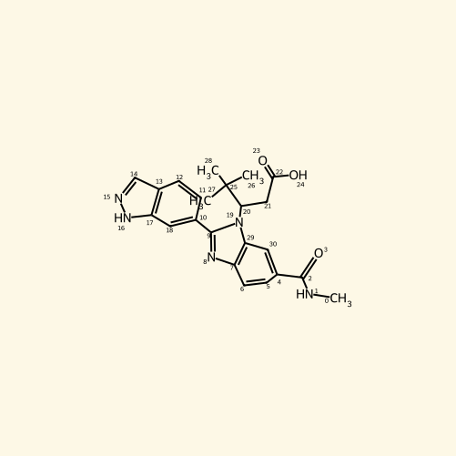 CNC(=O)c1ccc2nc(-c3ccc4cn[nH]c4c3)n(C(CC(=O)O)C(C)(C)C)c2c1